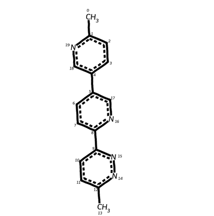 Cc1ccc(-c2ccc(-c3ccc(C)nn3)nc2)cn1